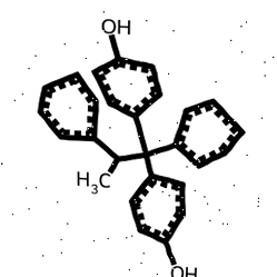 CC(c1ccccc1)C(c1ccccc1)(c1ccc(O)cc1)c1ccc(O)cc1